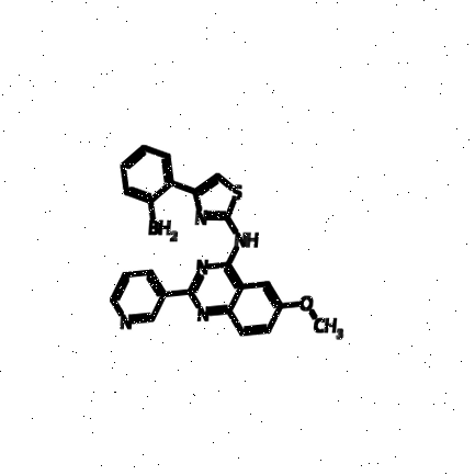 Bc1ccccc1-c1csc(Nc2nc(-c3cccnc3)nc3ccc(OC)cc23)n1